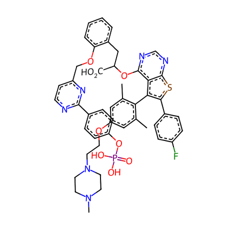 Cc1cc(OCCN2CCN(C)CC2)cc(C)c1-c1c(-c2ccc(F)cc2)sc2ncnc(OC(Cc3ccccc3OCc3ccnc(-c4ccc(OP(=O)(O)O)cc4)n3)C(=O)O)c12